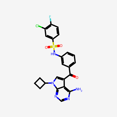 Nc1ncnc2c1c(C(=O)c1cccc(NS(=O)(=O)c3ccc(F)c(Cl)c3)c1)cn2C1CCC1